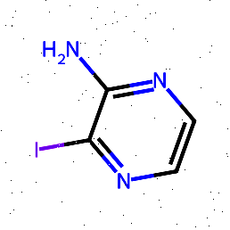 Nc1nccnc1I